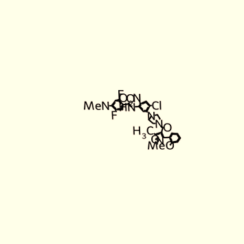 CNc1cc(F)c(C(=O)Nc2cc(N3CCN(C(=O)c4c(-c5ccccc5OC)noc4C)CC3)c(Cl)cc2[N+](=O)[O-])cc1F